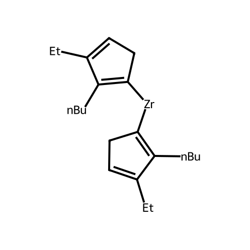 CCCCC1=[C]([Zr][C]2=C(CCCC)C(CC)=CC2)CC=C1CC